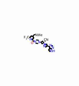 CNCc1cc(C(=O)N2CCN([C@H]3C[C@@](CC#N)(n4cc(-c5ncnc6[nH]ccc56)cn4)C3)CC2)nc(C(F)(F)F)c1